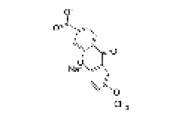 COc1ccc2oc3cc(C(=O)[O-])ccc3c(=O)c2c1.[Na+]